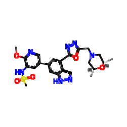 COc1ncc(-c2cc(-c3nnc(CN4C[C@@H](C)O[C@@H](C)C4)o3)c3cn[nH]c3c2)cc1NS(C)(=O)=O